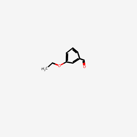 [CH2]COc1cccc(C=O)c1